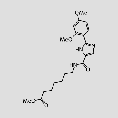 COC(=O)CCCCCCNC(=O)c1cnc(-c2ccc(OC)cc2OC)[nH]1